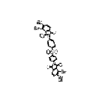 O=C1c2ccc(Br)c(Br)c2C(=O)N1c1ccc(S(=O)(=O)c2ccc(N3C(=O)c4ccc(Br)c(Br)c4C3=O)cc2)cc1